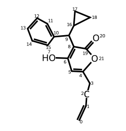 C=CCCc1cc(O)c(C(c2ccccc2)C2CC2)c(=O)o1